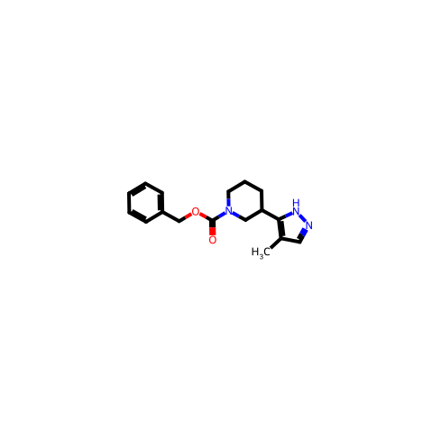 Cc1cn[nH]c1C1CCCN(C(=O)OCc2ccccc2)C1